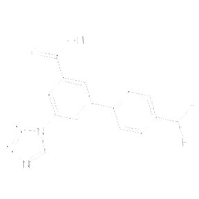 O=C(O)c1cc(-c2ccc(C(F)F)cc2)cc(-n2cnnn2)c1